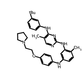 Cc1ccc(Nc2ccc(OCCN3CCCC3)cc2)cc1Nc1ncc(C)c(Nc2cccc(C(C)(C)C)c2)n1